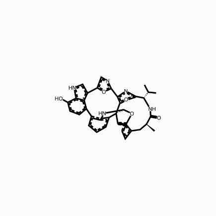 CC(C)[C@@H]1NC(=O)[C@@H](C)Cc2ccc3c(c2)[C@]24c5cccc(c5NC2O3)-c2ccc(O)c3[nH]cc(c23)-c2cnc(o2)-c2nc1oc24